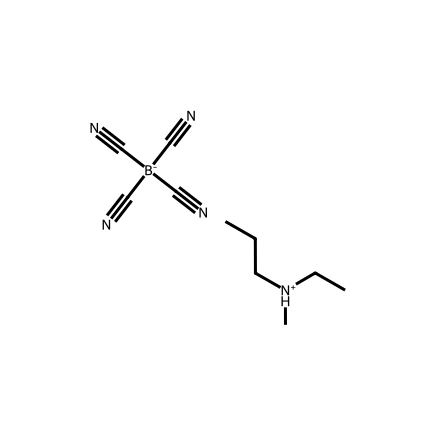 CCC[NH+](C)CC.N#C[B-](C#N)(C#N)C#N